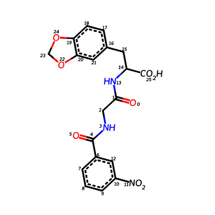 O=C(CNC(=O)c1cccc([N+](=O)[O-])c1)NC(Cc1ccc2c(c1)OCO2)C(=O)O